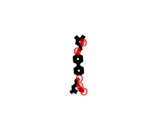 C=C(C)CC(COc1ccc(-c2ccc(OCC3CC(=C)C(=C)O3)cc2)cc1)OC=O